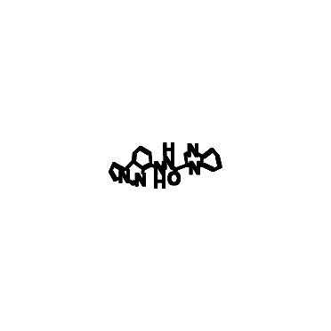 O=C(NNc1cccc2c1ncn1cccc21)c1cnc2ccccc2n1